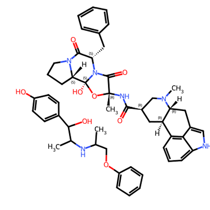 CC(COc1ccccc1)NC(C)C(O)c1ccc(O)cc1.CN1C[C@H](C(=O)N[C@]2(C)O[C@@]3(O)[C@@H]4CCCN4C(=O)[C@H](Cc4ccccc4)N3C2=O)C[C@@H]2c3cccc4[nH]cc(c34)C[C@H]21